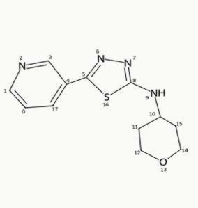 c1cncc(-c2nnc(NC3CCOCC3)s2)c1